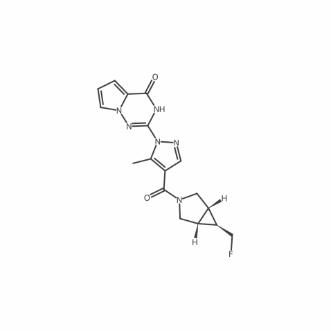 Cc1c(C(=O)N2C[C@@H]3[C@@H](CF)[C@@H]3C2)cnn1-c1nn2cccc2c(=O)[nH]1